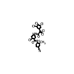 Cc1cc(C#N)ccc1NC(=O)c1cc(NC(=O)C2C(c3cc(Cl)c(Cl)c(Cl)c3)C2(Cl)Cl)ccc1Cl